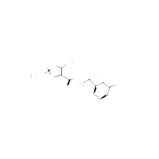 CC1C=CC=C([C@H](C)NOC(=O)C2OC(C)(C)OC2C)C1